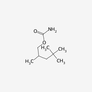 CC(COC(N)=O)CC(C)(C)C